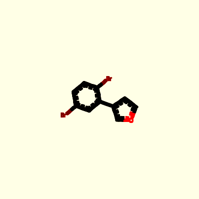 Brc1ccc(Br)c(-c2c[c]oc2)c1